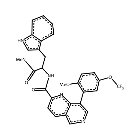 CNC(=O)C(Cc1c[nH]c2ccccc12)NC(=O)c1ccc2cncc(-c3cc(OC(F)(F)F)ccc3OC)c2n1